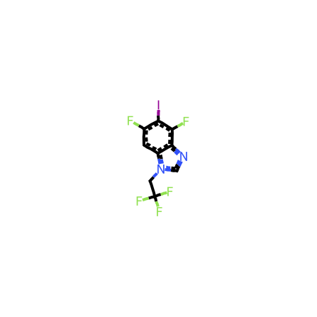 Fc1cc2c(ncn2CC(F)(F)F)c(F)c1I